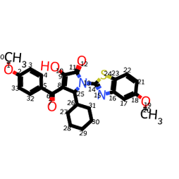 COc1ccc(C(=O)C2=C(O)C(=O)N(c3nc4cc(OC)ccc4s3)C2C2CCCCC2)cc1